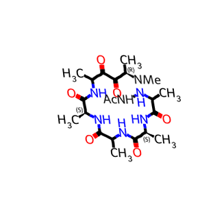 CN[C@H](C)C(=O)C(=O)C(C)NC(=O)[C@H](C)NC(=O)C(C)NC(=O)[C@H](C)NC(=O)C(C)NNC(C)=O